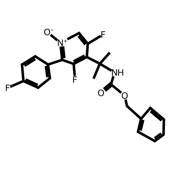 CC(C)(NC(=O)OCc1ccccc1)c1c(F)c[n+]([O-])c(-c2ccc(F)cc2)c1F